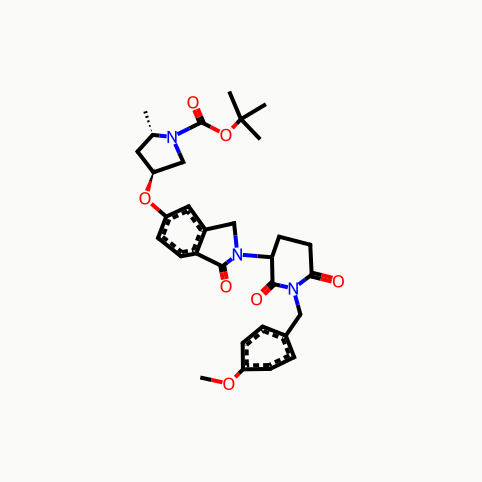 COc1ccc(CN2C(=O)CCC(N3Cc4cc(O[C@H]5C[C@H](C)N(C(=O)OC(C)(C)C)C5)ccc4C3=O)C2=O)cc1